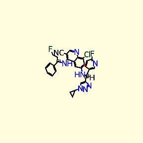 [2H][C@](Nc1cc(Cl)c2ncc(C#N)c(N[C@H](CCF)c3ccccc3)c2c1)(c1ccc(F)nc1)c1cn(C2CC2)nn1